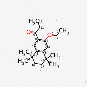 CCOc1cc2c(cc1C(=O)CC)C(C)(C)CCC2(C)C